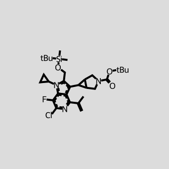 C=C(C)c1nc(Cl)c(F)c2c1c(C1C3CN(C(=O)OC(C)(C)C)CC31)c(CO[Si](C)(C)C(C)(C)C)n2C1CC1